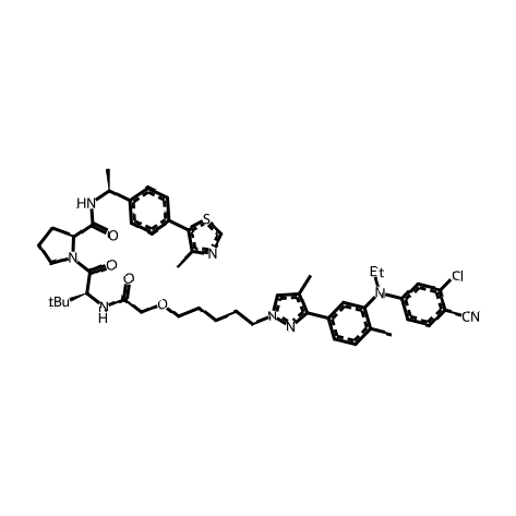 CCN(c1ccc(C#N)c(Cl)c1)c1cc(-c2nn(CCCCCOCC(=O)N[C@H](C(=O)N3CCCC3C(=O)N[C@@H](C)c3ccc(-c4scnc4C)cc3)C(C)(C)C)cc2C)ccc1C